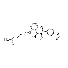 [2H]C(c1ccccc1OCCCCCC(=O)O)N(C(=O)c1ccc(SC(F)F)cc1)C(C)C